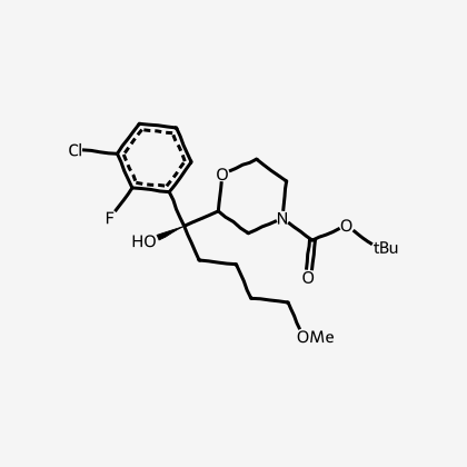 COCCCC[C@](O)(c1cccc(Cl)c1F)C1CN(C(=O)OC(C)(C)C)CCO1